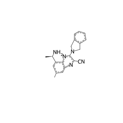 Cc1cc([C@@H](C)N)c2nc(N3Cc4ccccc4C3)c(C#N)nc2c1